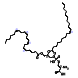 CCCCC/C=C\C/C=C\C/C=C\C/C=C\CCCC(=O)OC[C@H](COP(=O)(O)OC[C@H](N)C(=O)O)OC(=O)CCCCCCC/C=C\CCCCCCCCC